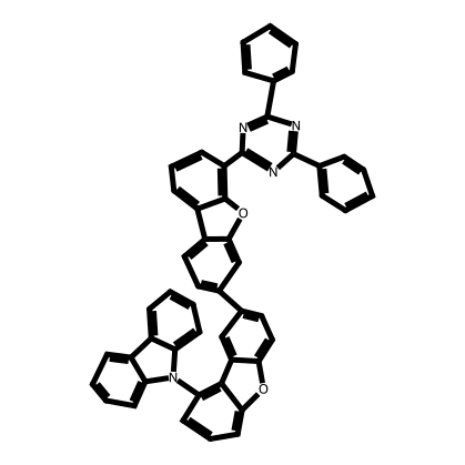 c1ccc(-c2nc(-c3ccccc3)nc(-c3cccc4c3oc3cc(-c5ccc6oc7cccc(-n8c9ccccc9c9ccccc98)c7c6c5)ccc34)n2)cc1